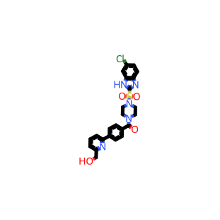 O=C(c1ccc(-c2cccc(CO)n2)cc1)N1CCN(S(=O)(=O)c2nc3ccc(Cl)cc3[nH]2)CC1